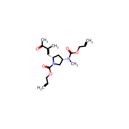 C=CCOC(=O)N(C)[C@H]1C[C@@H](/C=C(\C)C(C)=O)N(C(=O)OCC=C)C1